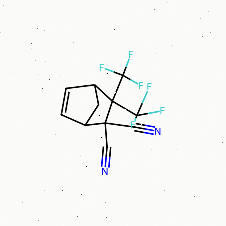 N#CC1(C#N)C2C=CC(C2)C1(C(F)(F)F)C(F)(F)F